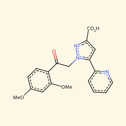 COc1ccc(C(=O)Cn2nc(C(=O)O)cc2-c2ccccn2)c(OC)c1